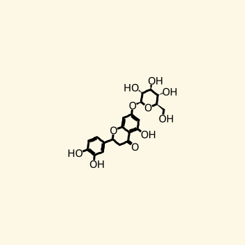 O=C1CC(c2ccc(O)c(O)c2)Oc2cc(O[C@@H]3O[C@H](CO)[C@@H](O)[C@H](O)[C@H]3O)cc(O)c21